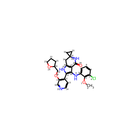 COc1c(Cl)cccc1Nc1c(-c2ccncc2OCC2CCCO2)[nH]c2c1C(=O)NC1(CC1)C2